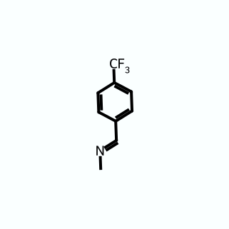 CN=Cc1ccc(C(F)(F)F)cc1